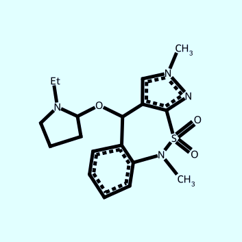 CCN1CCCC1OC1c2ccccc2N(C)S(=O)(=O)c2nn(C)cc21